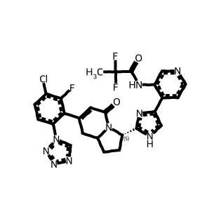 CC(F)(F)C(=O)Nc1cnccc1-c1c[nH]c([C@@H]2CCC3CC(c4c(-n5cnnn5)ccc(Cl)c4F)=CC(=O)N32)n1